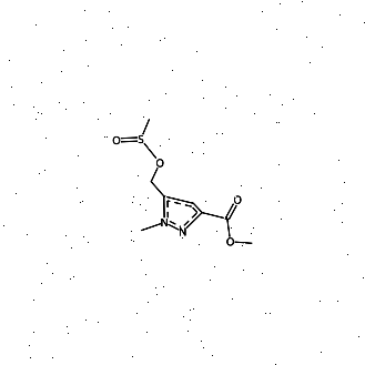 COC(=O)c1cc(COS(C)=O)n(C)n1